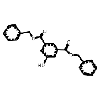 O=C(OCc1ccccc1)c1cc(O)cc(C(=O)OCc2ccccc2)c1